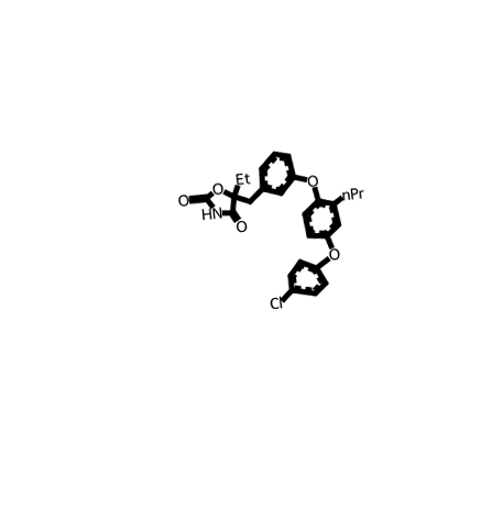 CCCc1cc(Oc2ccc(Cl)cc2)ccc1Oc1cccc(CC2(CC)OC(=O)NC2=O)c1